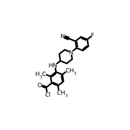 Cc1cc(C)c(C(=O)Cl)c(C)c1NC1CCN(c2ccc(F)cc2C#N)CC1